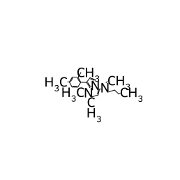 CCCCN(CC)c1cc(C)nc2c(-c3c(C)cc(C)cc3C)ccn12